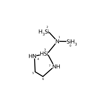 [SiH3]N([SiH3])[SiH]1NCCN1